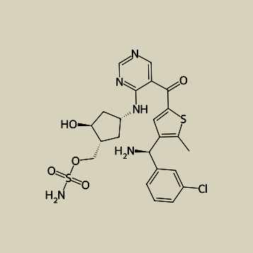 Cc1sc(C(=O)c2cncnc2N[C@@H]2C[C@H](COS(N)(=O)=O)[C@@H](O)C2)cc1[C@H](N)c1cccc(Cl)c1